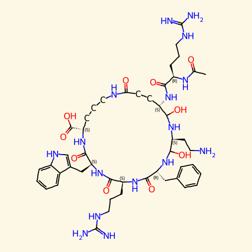 CC(=O)N[C@H](CCCNC(=N)N)C(=O)N[C@H]1CCC(=O)NCCC[C@@H](C(=O)O)NC(=O)[C@H](Cc2c[nH]c3ccccc23)NC(=O)[C@H](CCCNC(=N)N)NC(=O)[C@@H](Cc2ccccc2)NC(O)[C@H](CCN)NC1O